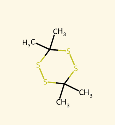 CC1(C)SSC(C)(C)SS1